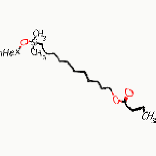 CC=CC(=O)OCCCCCCCCCCC[Si](C)(C)OCCCCCC